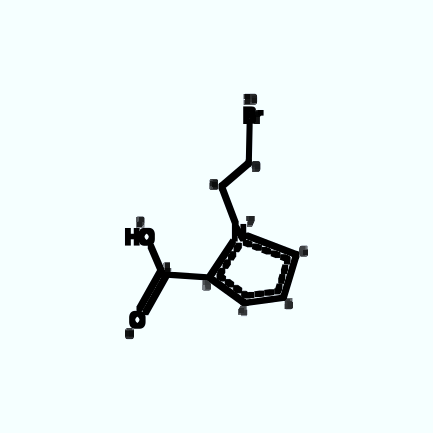 O=C(O)c1cccn1CCBr